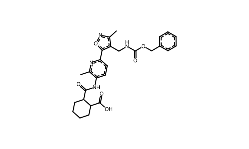 Cc1nc(-c2onc(C)c2CNC(=O)OCc2ccccc2)ccc1NC(=O)C1CCCCC1C(=O)O